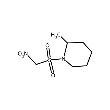 CC1CCCCN1S(=O)(=O)C[N+](=O)[O-]